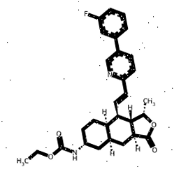 CCOC(=O)N[C@@H]1CC[C@@H]2[C@H](C1)C[C@@H]1C(=O)O[C@@H](C)[C@H]1[C@@H]2/C=C/c1ccc(-c2cccc(F)c2)cn1